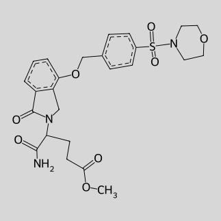 COC(=O)CCC(C(N)=O)N1Cc2c(OCc3ccc(S(=O)(=O)N4CCOCC4)cc3)cccc2C1=O